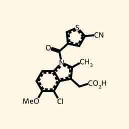 COc1ccc2c(c1Cl)c(CC(=O)O)c(C)n2C(=O)c1csc(C#N)c1